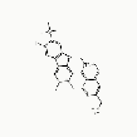 Cc1cc2c(oc3cc([Si](C)(C)C)c(F)cc32)c(-c2c3ccc(CC(F)(F)F)cc3cc[n+]2C)c1C